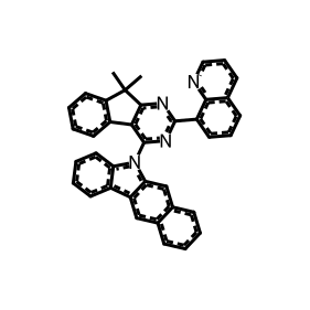 CC1(C)c2ccccc2-c2c(-n3c4ccccc4c4cc5ccccc5cc43)nc(-c3cccc4cccnc34)nc21